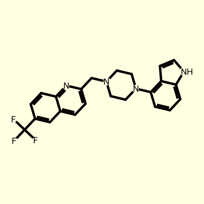 FC(F)(F)c1ccc2nc(CN3CCN(c4cccc5[nH]ccc45)CC3)ccc2c1